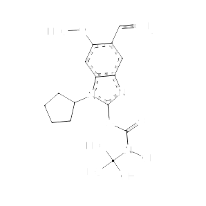 C=Cc1cc2nc(OC(=O)N(C)C(C)(C)C)n(C3CCCC3)c2cc1OC